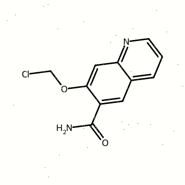 NC(=O)c1cc2cccnc2cc1OCCl